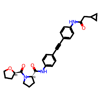 O=C(CC1CC1)Nc1ccc(C#Cc2ccc(NC(=O)[C@@H]3CCCN3C(=O)[C@H]3CCCO3)cc2)cc1